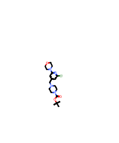 CC(C)(C)OC(=O)N1CCN(Cc2cc(Cl)nc(N3CCOCC3)c2)CC1